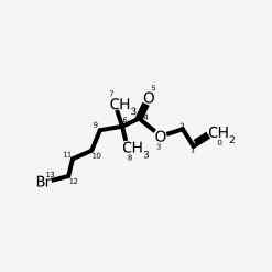 C=CCOC(=O)C(C)(C)CCCCBr